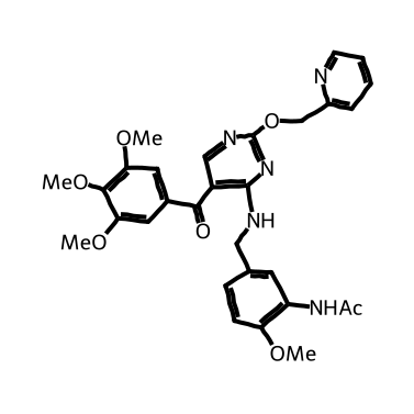 COc1ccc(CNc2nc(OCc3ccccn3)ncc2C(=O)c2cc(OC)c(OC)c(OC)c2)cc1NC(C)=O